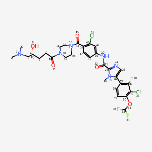 CN(C)C[C@H](O)CCC(=O)N1CCN(C(=O)c2ccc(NC(=O)c3ncc(-c4ccc(OC(F)F)c(Cl)c4F)n3C)cc2Cl)CC1